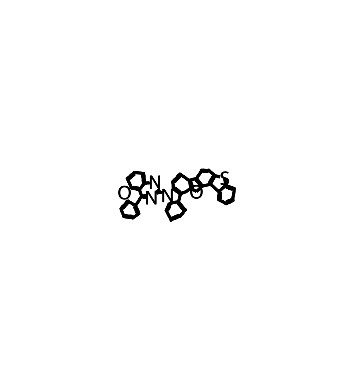 c1ccc2c(c1)Oc1cccc3nc(-n4c5ccccc5c5c6oc7c(ccc8sc9ccccc9c87)c6ccc54)nc-2c13